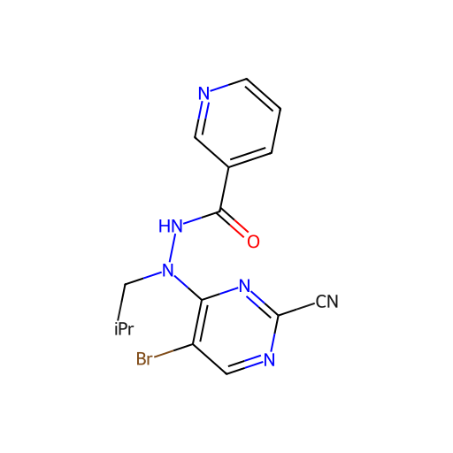 CC(C)CN(NC(=O)c1cccnc1)c1nc(C#N)ncc1Br